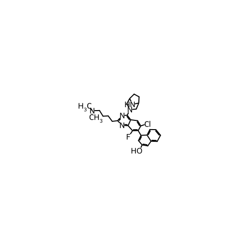 CN(C)CCCCc1nc(N2CC3CCC(C2)N3)c2cc(Cl)c(-c3cc(O)cc4ccccc34)c(F)c2n1